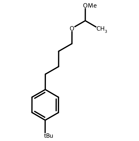 COC(C)OCCCCc1ccc(C(C)(C)C)cc1